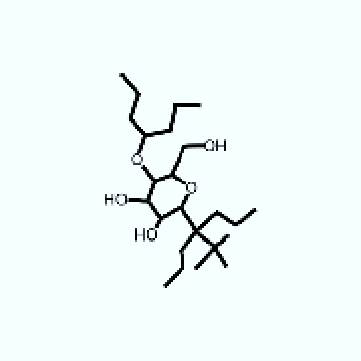 CCCC(CCC)OC1C(CO)OC(C(CCC)(CCC)C(C)(C)C)C(O)C1O